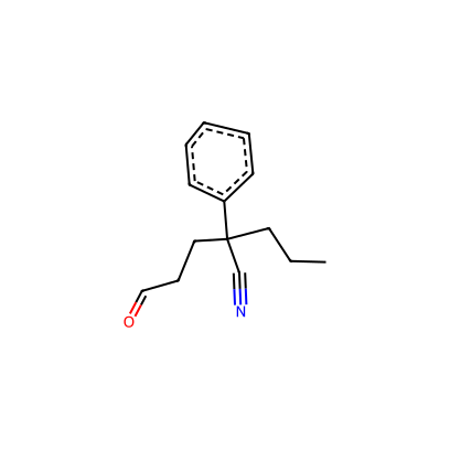 CCCC(C#N)(CCC=O)c1ccccc1